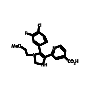 COCCN1CNC(c2cc(C(=O)O)ccn2)=C1c1ccc(Cl)c(F)c1